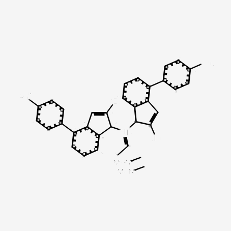 CNC.CNC.C[CH]=[Hf]([CH]1C(CC)=Cc2c(-c3ccc(C(C)(C)C)cc3)cccc21)[CH]1C(CC)=Cc2c(-c3ccc(C(C)(C)C)cc3)cccc21